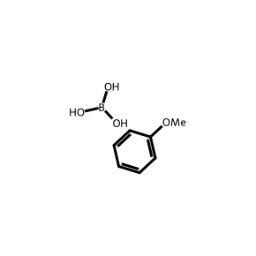 COc1ccccc1.OB(O)O